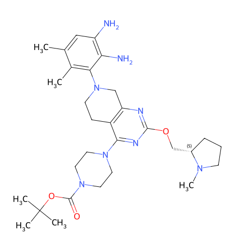 Cc1cc(N)c(N)c(N2CCc3c(nc(OC[C@@H]4CCCN4C)nc3N3CCN(C(=O)OC(C)(C)C)CC3)C2)c1C